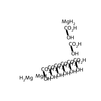 O=C(O)O.O=C(O)O.O=C(O)O.O=C(O)O.O=C(O)O.O=C(O)O.O=C(O)O.O=C(O)O.[MgH2].[MgH2].[MgH2]